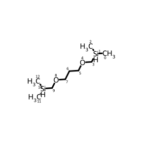 C[SiH](C)COCCCOC[SiH](C)C